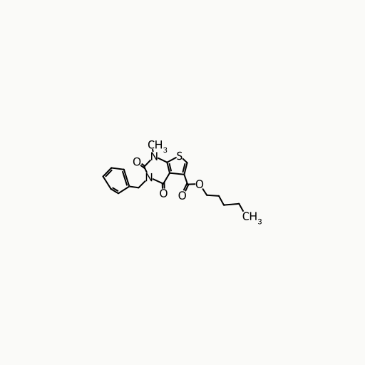 CCCCCOC(=O)c1csc2c1c(=O)n(Cc1ccccc1)c(=O)n2C